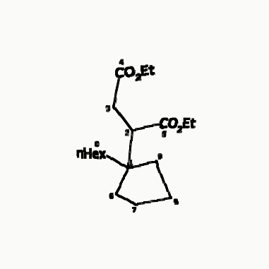 CCCCCCC1(C(CC(=O)OCC)C(=O)OCC)CCCC1